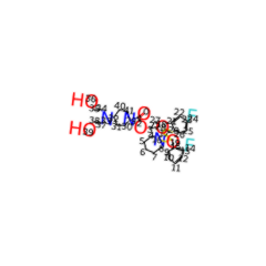 O=C(OC1([C@H]2CCC[C@@H](c3cccc(F)c3)N2S(=O)(=O)c2ccc(F)cc2)CC1)N1CCC(N(CCO)CCO)CC1